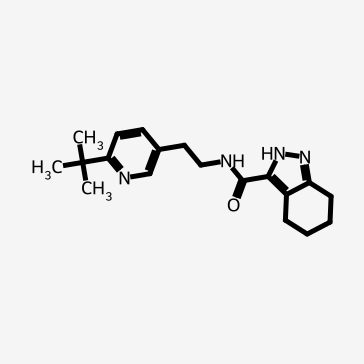 CC(C)(C)c1ccc(CCNC(=O)c2[nH]nc3c2CCCC3)cn1